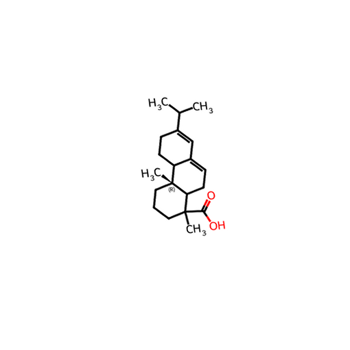 CC(C)C1=CC2=CCC3C(C)(C(=O)O)CCC[C@]3(C)C2CC1